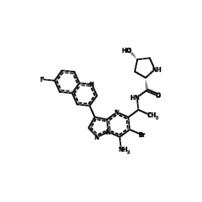 CC(NC(=O)[C@@H]1C[C@H](O)CN1)c1nc2c(-c3cnc4ccc(F)cc4c3)cnn2c(N)c1Br